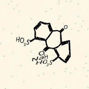 O=C1c2cccc(S(=O)(=O)O)c2C(=O)c2c1cccc2S(=O)(=O)O.[NaH]